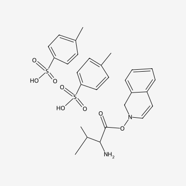 CC(C)C(N)C(=O)ON1C=Cc2ccccc2C1.Cc1ccc(S(=O)(=O)O)cc1.Cc1ccc(S(=O)(=O)O)cc1